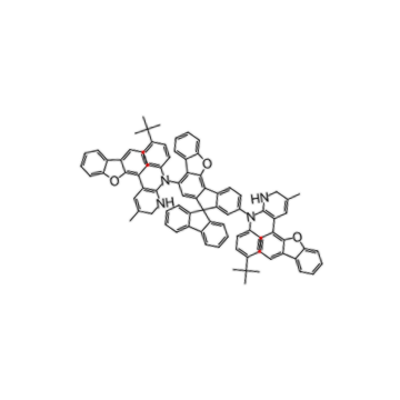 CC1=CC(c2cccc3c2oc2ccccc23)=C(N(c2ccc(C(C)(C)C)cc2)c2ccc3c(c2)C2(c4ccccc4-c4ccccc42)c2cc(N(C4=C(c5cccc6c5oc5ccccc56)C=C(C)CN4)c4ccc(C(C)(C)C)cc4)c4c(oc5ccccc54)c2-3)NC1